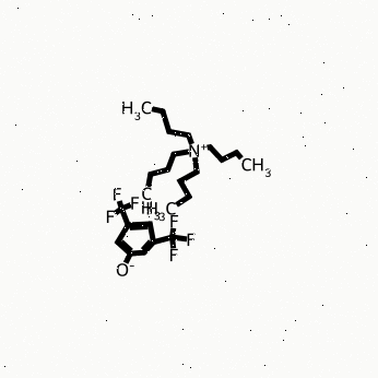 CCCC[N+](CCCC)(CCCC)CCCC.[O-]c1cc(C(F)(F)F)cc(C(F)(F)F)c1